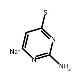 Nc1nccc([S-])n1.[Na+]